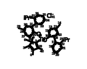 CC1=C(C)C(C)(C)[C]([Ti+]([O]c2ccc(C)cc2-c2ccccc2C(C)C)[O]c2ccc(C)cc2-c2ccccc2C(C)C)=C1C.[Cl-]